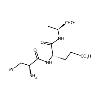 CC(C)C[C@H](N)C(=O)N[C@@H](CCC(=O)O)C(=O)N[C@@H](C)[C]=O